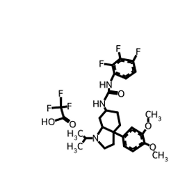 COc1ccc(C23CCC(NC(=O)Nc4ccc(F)c(F)c4F)CC2N(C(C)C)CC3)cc1OC.O=C(O)C(F)(F)F